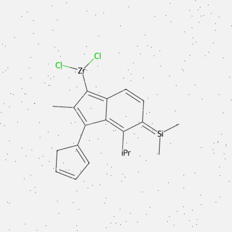 CC1=C(C2=CC=CC2)c2c(C(C)C)c(=[Si](C)C)ccc2=[C]1[Zr]([Cl])[Cl]